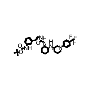 CC(C)(C)OC(=O)Nc1cccc(-c2cnc(N[C@@H]3CCCC[C@H]3N[C@H]3CCCN(c4ccc(C(F)(F)F)cc4)C3)o2)c1